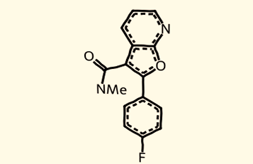 CNC(=O)c1c(-c2ccc(F)cc2)oc2ncccc12